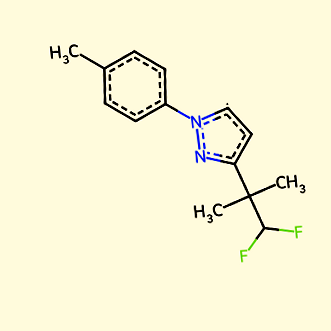 Cc1ccc(-n2[c]cc(C(C)(C)C(F)F)n2)cc1